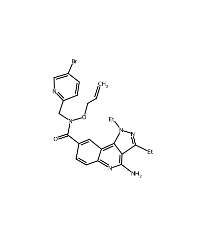 C=CCON(Cc1ccc(Br)cn1)C(=O)c1ccc2nc(N)c3c(CC)nn(CC)c3c2c1